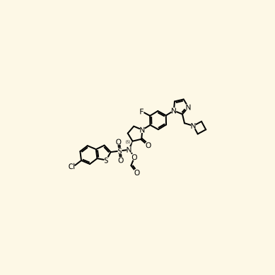 O=CON([C@H]1CCN(c2ccc(-n3ccnc3CN3CCC3)cc2F)C1=O)S(=O)(=O)c1cc2ccc(Cl)cc2s1